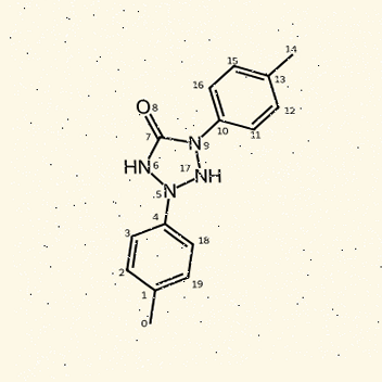 Cc1ccc(N2NC(=O)N(c3ccc(C)cc3)N2)cc1